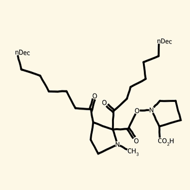 CCCCCCCCCCCCCCCC(=O)C1CCN(C)C1(C(=O)CCCCCCCCCCCCCCC)C(=O)ON1CCCC1C(=O)O